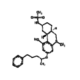 CC(CCCc1ccccc1)Oc1cc(O)c2c(c1)N(C)C[C@@H]1CCC(NS(C)(=O)=O)C[C@@H]21